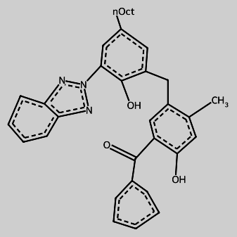 CCCCCCCCc1cc(Cc2cc(C(=O)c3ccccc3)c(O)cc2C)c(O)c(-n2nc3ccccc3n2)c1